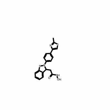 Cc1nc(-c2ccc(N3Sc4ccccc4C3CC(=O)NO)cc2)cs1